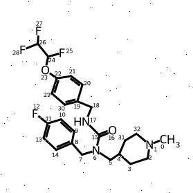 CN1CCC(CN(Cc2ccc(F)cc2)C(=O)NCc2ccc(OC(F)C(F)F)cc2)CC1